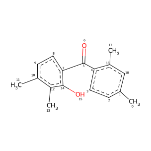 Cc1ccc(C(=O)c2ccc(C)c(C)c2O)c(C)c1